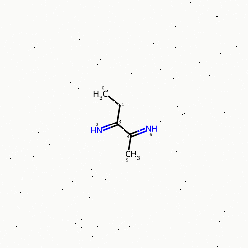 CCC(=N)C(C)=N